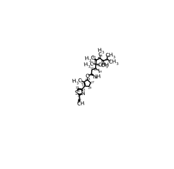 C#Cc1nc(C2=C(C)[C@@H](OC(=N)C[C@H](I)C(C)(C)C(=C)[C@H](C)[C@@H](O)C(C)C)CC2)cs1